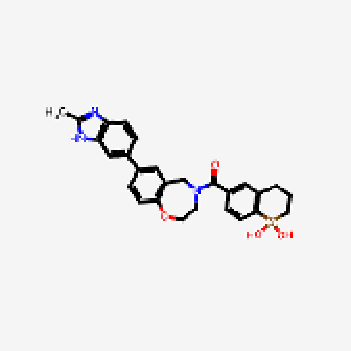 Cc1nc2ccc(-c3ccc4c(c3)CN(C(=O)c3ccc5c(c3)CCCS5(O)O)CCO4)cc2[nH]1